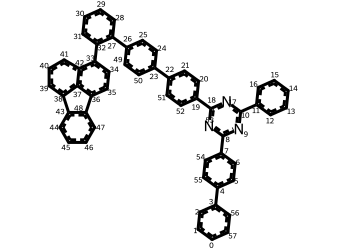 c1ccc(-c2ccc(-c3nc(-c4ccccc4)nc(-c4ccc(-c5ccc(-c6ccccc6-c6ccc7c8c(cccc68)-c6ccccc6-7)cc5)cc4)n3)cc2)cc1